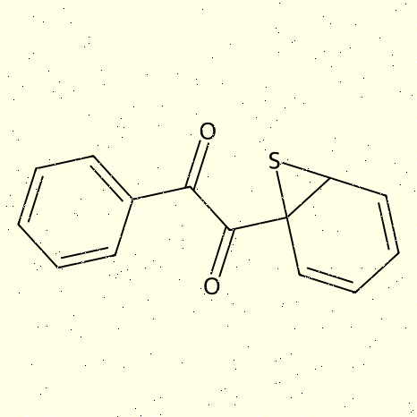 O=C(C(=O)C12C=CC=CC1S2)c1ccccc1